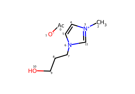 CC(=O)[O-].C[n+]1ccn(CCCO)c1